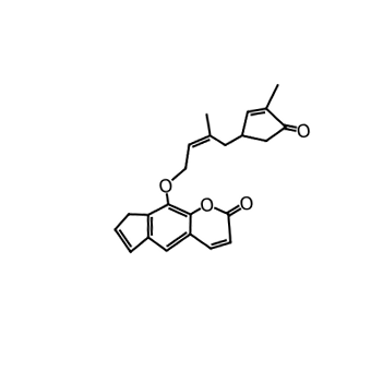 CC1=CC(C/C(C)=C\COc2c3c(cc4ccc(=O)oc24)C=CC3)CC1=O